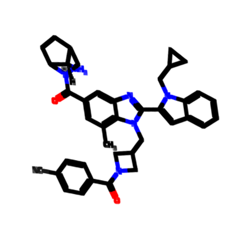 Cc1cc(C(=O)N2CC3CCC2[C@@H]3N)cc2nc(-c3cc4ccccc4n3CC3CC3)n(CC3CN(C(=O)c4ccc(C#N)cc4)C3)c12